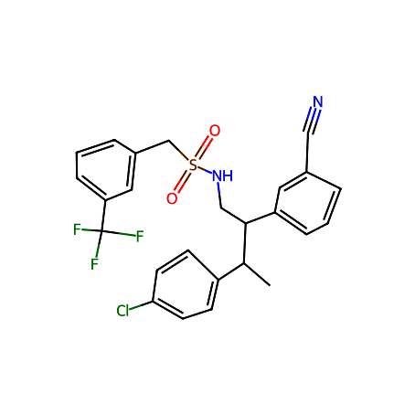 CC(c1ccc(Cl)cc1)C(CNS(=O)(=O)Cc1cccc(C(F)(F)F)c1)c1cccc(C#N)c1